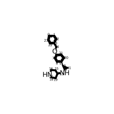 c1ccc(COc2ccc([C@H]3C[C@@H]3NC3CCNCC3)cc2)cc1